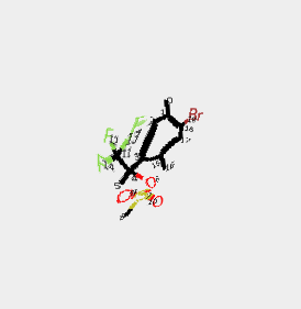 Cc1cc(C(C)(OS(C)(=O)=O)C(F)(F)F)c(C)cc1Br